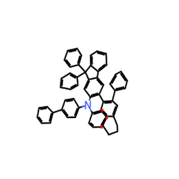 c1ccc(-c2ccc(N(c3ccccc3)c3cc4c(cc3-c3cc5c(cc3-c3ccccc3)CCCC5)-c3ccccc3C4(c3ccccc3)c3ccccc3)cc2)cc1